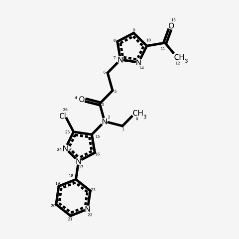 CCN(C(=O)CCn1ccc(C(C)=O)n1)c1cn(-c2cccnc2)nc1Cl